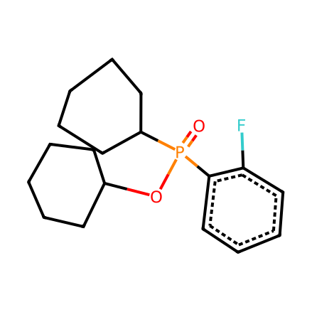 O=P(OC1CCCCC1)(c1ccccc1F)C1CCCCC1